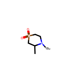 CC1CS(=O)(=O)CCN1C(C)(C)C